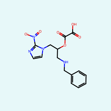 O=C(O)C(=O)OC(CNCc1ccccc1)Cn1ccnc1[N+](=O)[O-]